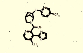 Cc1ccnc(C(O)N2CC3CC(Oc4ccc(C(F)(F)F)cn4)C2C3)c1-c1nccs1